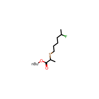 CCCCOC(=O)C(C)SCCCCC(C)F